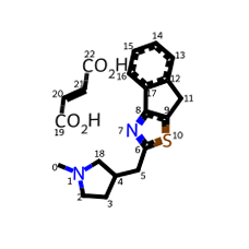 CN1CCC(Cc2nc3c(s2)Cc2ccccc2-3)C1.O=C(O)/C=C/C(=O)O